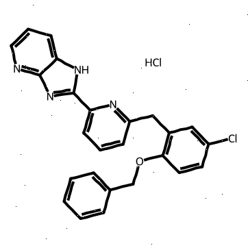 Cl.Clc1ccc(OCc2ccccc2)c(Cc2cccc(-c3nc4ncccc4[nH]3)n2)c1